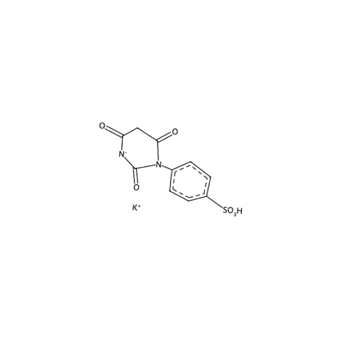 O=C1CC(=O)N(c2ccc(S(=O)(=O)O)cc2)C(=O)[N-]1.[K+]